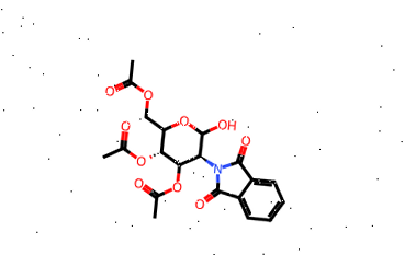 CC(=O)OCC1OC(O)[C@@H](N2C(=O)c3ccccc3C2=O)C(OC(C)=O)[C@@H]1OC(C)=O